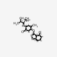 CNC(=Nc1cc(C)c(Oc2snc3cccc(Cl)c23)cc1Cl)C(C)C